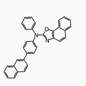 c1ccc(N(c2ccc(-c3ccc4ccccc4c3)cc2)c2nc3ccc4ccccc4c3o2)cc1